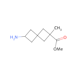 COC(=O)C1(C)CC2(CC(N)C2)C1